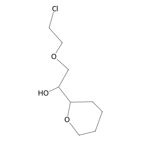 OC(COCCCl)C1CCCCO1